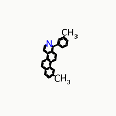 Cc1cccc(-c2nccc3c2ccc2c4cc(C)ccc4ccc32)c1